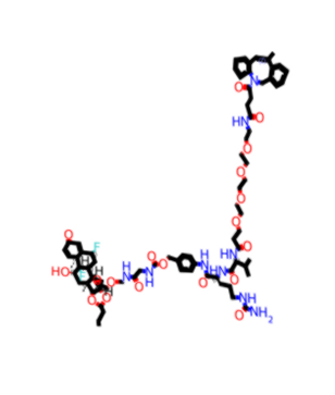 CCCC1O[C@@H]2C[C@H]3[C@@H]4C[C@H](F)C5=CC(=O)C=C[C@]5(C)[C@@]4(F)[C@@H](O)C[C@]3(C)[C@]2(C(=O)COCNC(=O)CNC(=O)OCc2ccc(NC(=O)[C@H](CCCNC(N)=O)NC(=O)[C@@H](NC(=O)CCOCCOCCOCCOCCNC(=O)CCC(=O)N3Cc4ccccc4/C(C)=C\c4ccccc43)C(C)C)cc2)O1